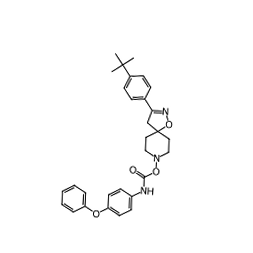 CC(C)(C)c1ccc(C2=NOC3(CCN(OC(=O)Nc4ccc(Oc5ccccc5)cc4)CC3)C2)cc1